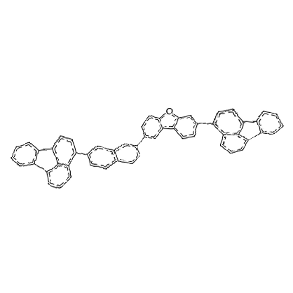 c1ccc2c(c1)-c1cccc3c(-c4ccc5ccc(-c6ccc7oc8cc(-c9ccc%10c%11c(cccc9%11)-c9ccccc9-%10)ccc8c7c6)cc5c4)ccc-2c13